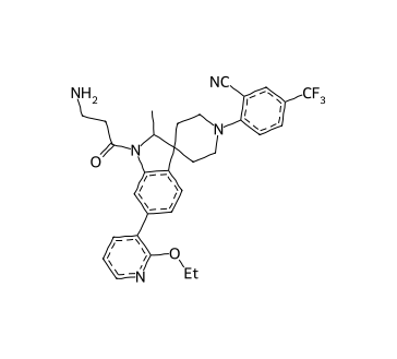 CCOc1ncccc1-c1ccc2c(c1)N(C(=O)CCN)C(C)C21CCN(c2ccc(C(F)(F)F)cc2C#N)CC1